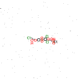 CCS(=O)(=O)C[C@H](O)COc1c(Cl)cc(S(=O)(=O)c2ccc(OC[C@@H](O)CCl)cc2)cc1Cl